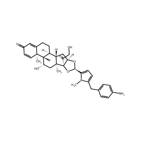 Cn1c(Cc2ccc(N)cc2)ccc1[C@@H]1O[C@@H]2C[C@H]3[C@@H]4CCC5=CC(=O)C=C[C@]5(C)[C@@]4(F)[C@@H](O)C[C@]3(C)[C@]2(C(=O)CO)O1